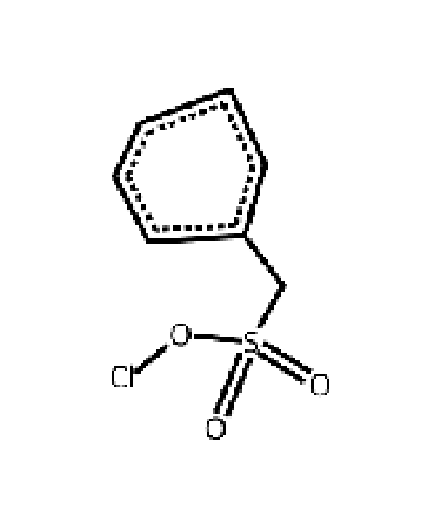 O=S(=O)(Cc1ccccc1)OCl